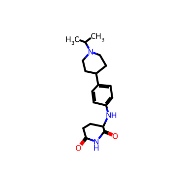 CC(C)N1CCC(c2ccc(NC3CCC(=O)NC3=O)cc2)CC1